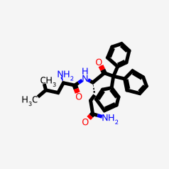 CC(C)C[C@H](N)C(=O)N[C@@H](CCC(N)=O)C(=O)C(c1ccccc1)(c1ccccc1)c1ccccc1